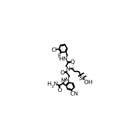 C[C@H](CCC(C)(C)[Si](C)(C)O)N(CC(=O)NCc1cccc(Cl)c1F)C(=O)Cn1nc(C(N)=O)c2cc(C#N)ccc21